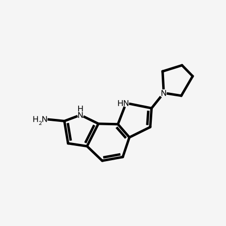 Nc1cc2ccc3cc(N4CCCC4)[nH]c3c2[nH]1